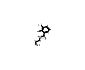 Cc1c(Cl)cccc1[C@@H](C)NCCC(C)(C)C